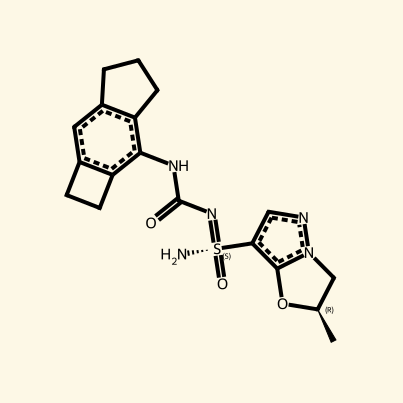 C[C@@H]1Cn2ncc([S@@](N)(=O)=NC(=O)Nc3c4c(cc5c3CC5)CCC4)c2O1